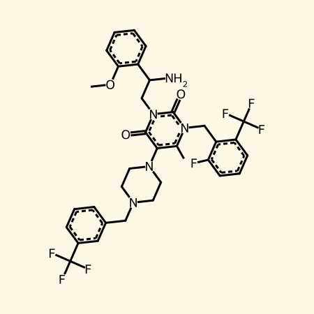 COc1ccccc1C(N)Cn1c(=O)c(N2CCN(Cc3cccc(C(F)(F)F)c3)CC2)c(C)n(Cc2c(F)cccc2C(F)(F)F)c1=O